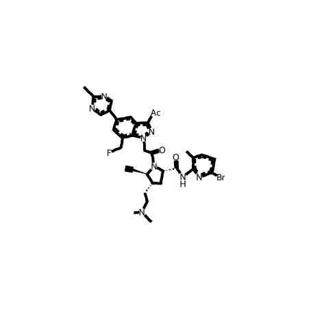 C#C[C@@H]1[C@@H](CCN(C)C)C[C@@H](C(=O)Nc2nc(Br)ccc2C)N1C(=O)Cn1nc(C(C)=O)c2cc(-c3cnc(C)nc3)cc(CF)c21